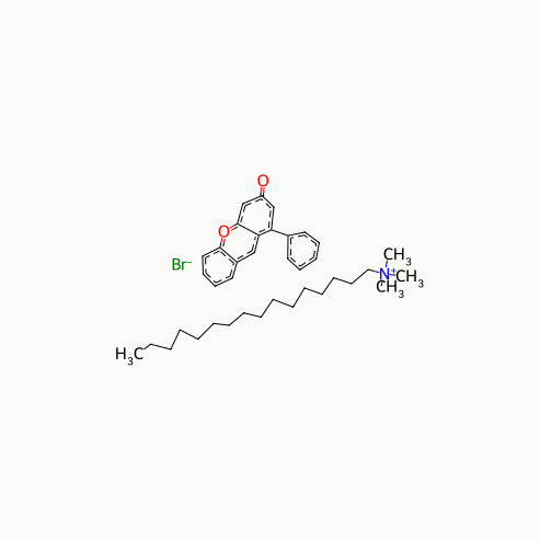 CCCCCCCCCCCCCCCC[N+](C)(C)C.O=c1cc2oc3ccccc3cc-2c(-c2ccccc2)c1.[Br-]